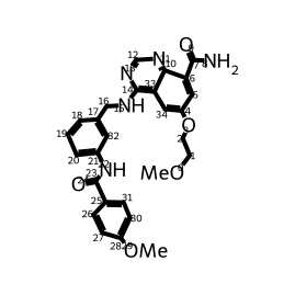 COCCOc1cc(C(N)=O)c2ncnc(NCc3cccc(NC(=O)c4ccc(OC)cc4)c3)c2c1